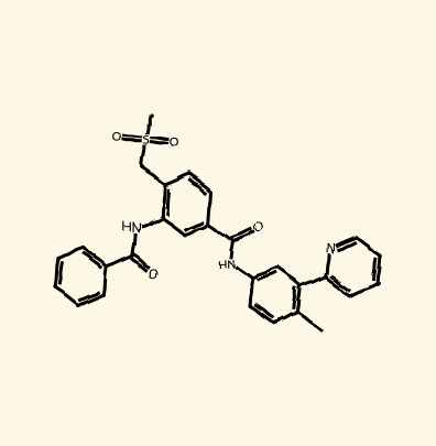 Cc1ccc(NC(=O)c2ccc(CS(C)(=O)=O)c(NC(=O)c3ccccc3)c2)cc1-c1ccccn1